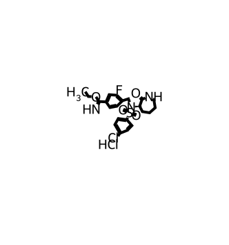 CCOC(=N)c1ccc(CN([C@@H]2CCCCNC2=O)S(=O)(=O)c2ccc(Cl)cc2)c(F)c1.Cl